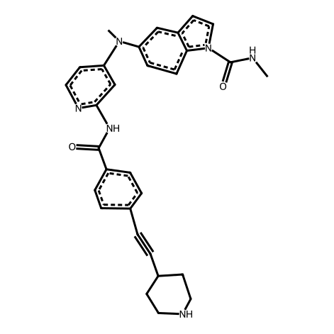 CNC(=O)n1ccc2cc(N(C)c3ccnc(NC(=O)c4ccc(C#CC5CCNCC5)cc4)c3)ccc21